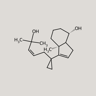 CC(C)(O)/C=C\CC1(C2=CCC3[C@@H](O)CCC[C@]23C)CC1